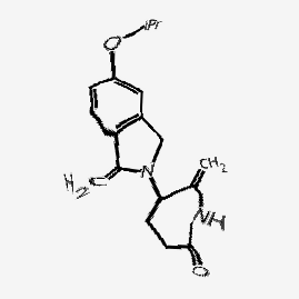 C=C1NC(=O)CCC1N1Cc2cc(OC(C)C)ccc2C1=C